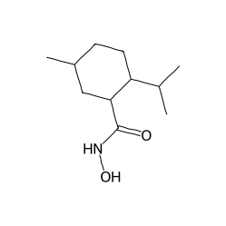 CC1CCC(C(C)C)C(C(=O)NO)C1